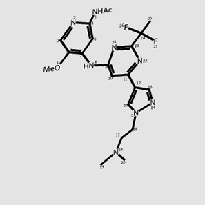 COc1cnc(NC(C)=O)cc1Nc1cc(-c2cnn(CCN(C)C)c2)nc(C(C)(F)F)n1